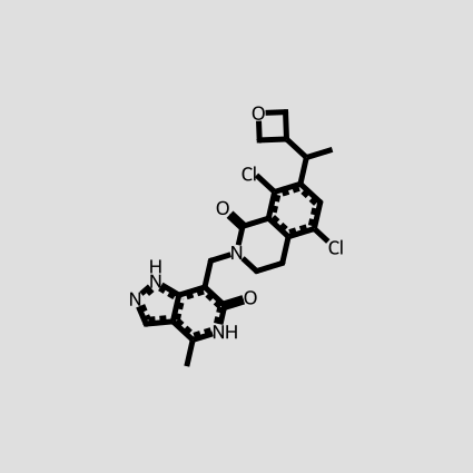 Cc1[nH]c(=O)c(CN2CCc3c(Cl)cc(C(C)C4COC4)c(Cl)c3C2=O)c2[nH]ncc12